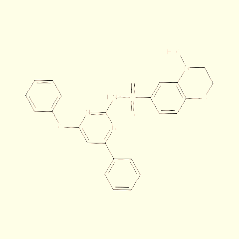 CN1CCOc2ccc(S(=O)(=O)Nc3nc(Oc4ccccc4)cc(-c4ccccc4)n3)cc21